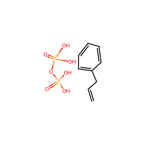 C=CCc1ccccc1.O=P(O)(O)OP(=O)(O)O